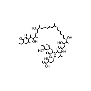 C=C/C(O)=C\C(=C/C)CC(NC(=O)C(NC(=O)CC(O)C(C)C(O)/C=C/C=C/CC/C(C)=C/C=C/CCC(C)C(O)CCC(C)C(O)C(C)C1NC(=O)C(CC)C[C@@H]1C)C(C)C)C(=O)N1CCCC(C(=O)O)N1